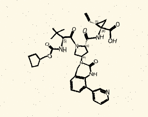 C=C[C@@H]1C[C@]1(NC(=O)[C@@H]1C[C@@H](N2Cc3cccc(-c4cccnc4)c3NC2=O)CN1C(=O)[C@@H](NC(=O)OC1CCCC1)C(C)(C)C)C(=O)O